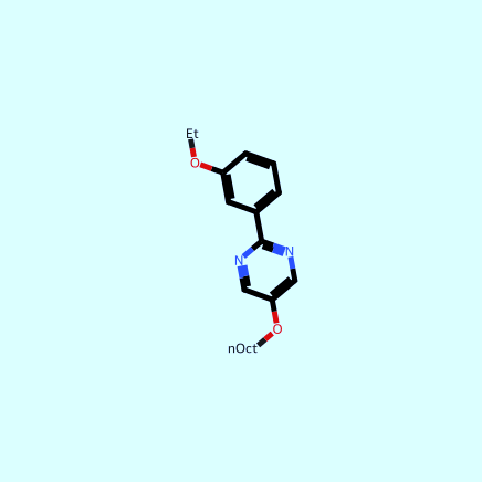 CCCCCCCCOc1cnc(-c2cccc(OCC)c2)nc1